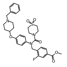 COC(=O)c1ccc(CN(C(=O)N2CCS(=O)(=O)CC2)c2ccc(OC3CCN(Cc4ccccc4)CC3)cc2)c(F)c1